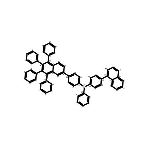 c1ccc(-c2c(-c3ccccc3)c(-c3ccccc3)c3cc(-c4ccc(N(c5ccccc5)c5ccc(-c6cccc7ccccc67)cc5)cc4)ccc3c2-c2ccccc2)cc1